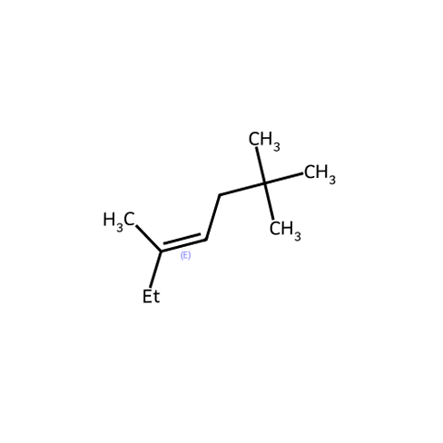 CC/C(C)=C/CC(C)(C)C